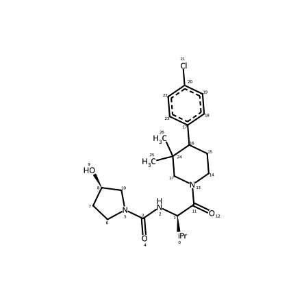 CC(C)[C@@H](NC(=O)N1CC[C@@H](O)C1)C(=O)N1CCC(c2ccc(Cl)cc2)C(C)(C)C1